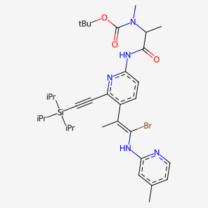 C/C(=C(/Br)Nc1cc(C)ccn1)c1ccc(NC(=O)C(C)N(C)C(=O)OC(C)(C)C)nc1C#C[Si](C(C)C)(C(C)C)C(C)C